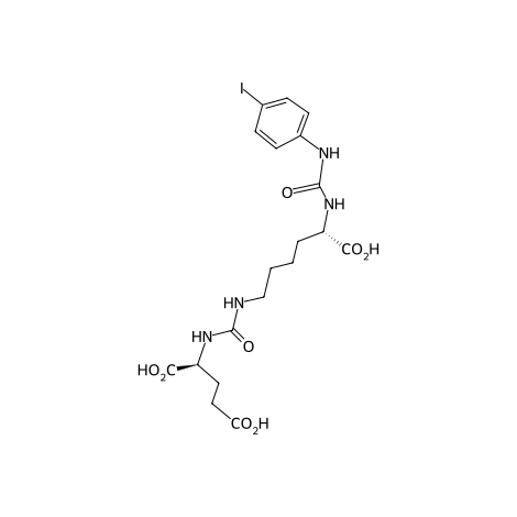 O=C(O)CC[C@H](NC(=O)NCCCC[C@H](NC(=O)Nc1ccc(I)cc1)C(=O)O)C(=O)O